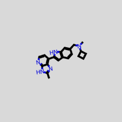 Cc1nc2c(-c3cc4ccc(CN(C)C5CCC5)cc4[nH]3)ccnc2[nH]1